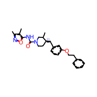 Cc1noc(NC(=O)N2CC/C(=C\c3cccc(OCCc4ccccc4)c3)C(C)C2)c1C